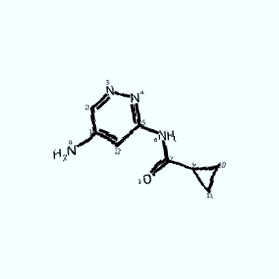 Nc1cnnc(NC(=O)C2CC2)c1